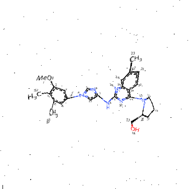 COc1cc(-n2cnc(Nc3nc(N4CCC[C@H]4CO)c4ccc(C)cc4n3)c2)cc(C)c1C